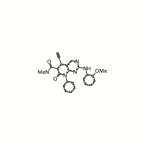 C#Cc1c(C(=O)NC)c(=O)n(-c2ccccc2)c2nc(Nc3ccccc3OC)ncc12